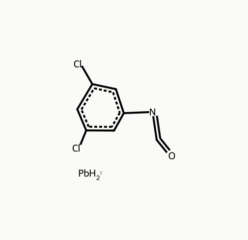 O=C=Nc1cc(Cl)cc(Cl)c1.[PbH2]